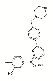 Cc1ccc(-c2c[nH]c3ncc(-c4ccc(CN5CCNCC5)cc4)cc23)cc1O